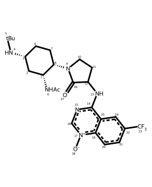 CC(=O)N[C@@H]1C[C@H](NC(C)(C)C)CC[C@@H]1N1CCC(Nc2nc[n+]([O-])c3ccc(C(F)(F)F)cc23)C1=O